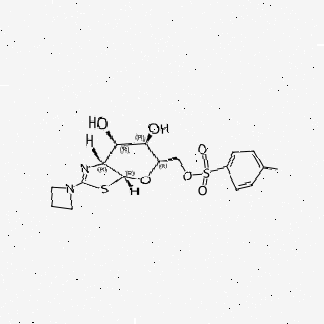 Cc1ccc(S(=O)(=O)OC[C@H]2O[C@@H]3SC(N4CCC4)=N[C@@H]3[C@@H](O)[C@H]2O)cc1